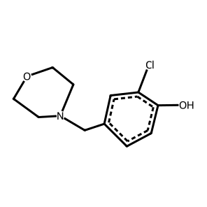 Oc1ccc(CN2CCOCC2)cc1Cl